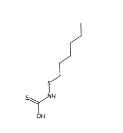 CCCCCCSNC(O)=S